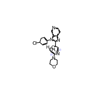 C=C(/C=N\C(=C/C)N1CCOCC1)c1nc2ccncc2n1C1=CCC(Cl)C=C1